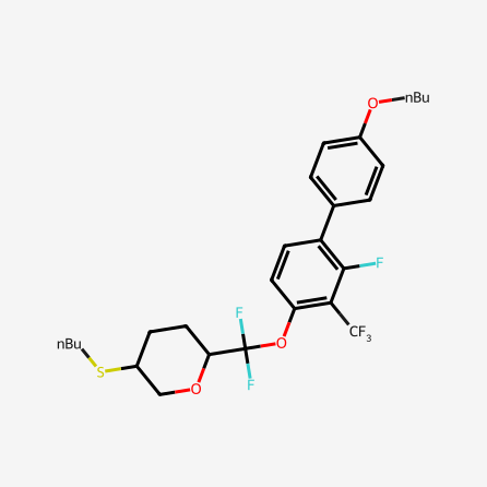 CCCCOc1ccc(-c2ccc(OC(F)(F)C3CCC(SCCCC)CO3)c(C(F)(F)F)c2F)cc1